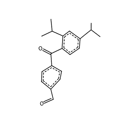 CC(C)c1ccc(C(=O)c2ccc(C=O)cc2)c(C(C)C)c1